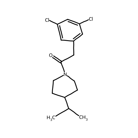 CC(C)C1CCN(C(=O)Cc2cc(Cl)cc(Cl)c2)CC1